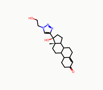 C[C@]12CCC3C4CCC(=O)C=C4CCC3C1CC[C@@]2(O)c1cn(CCO)nn1